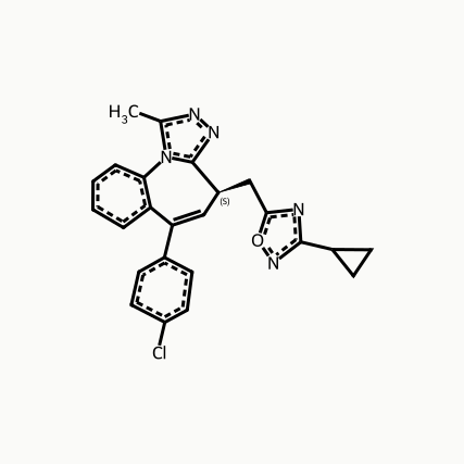 Cc1nnc2n1-c1ccccc1C(c1ccc(Cl)cc1)=C[C@@H]2Cc1nc(C2CC2)no1